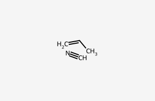 C#N.C=CC